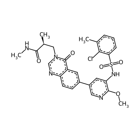 CNC(=O)[C@@H](C)Cn1cnc2ccc(-c3cnc(OC)c(NS(=O)(=O)c4cccc(C)c4Cl)c3)cc2c1=O